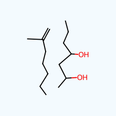 C=C(C)CCCCC.CCCC(O)CC(C)O